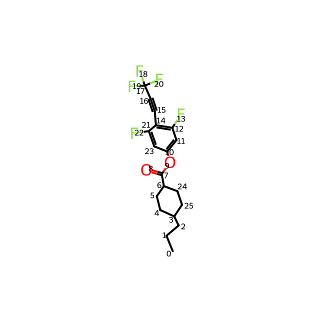 CCCC1CCC(C(=O)Oc2cc(F)c(C#CC(F)(F)F)c(F)c2)CC1